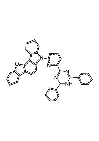 c1ccc(C2=NC(c3cccc(-n4c5ccccc5c5c6oc7ccccc7c6ccc54)n3)=NC(c3ccccc3)N2)cc1